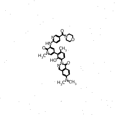 Cc1ccc(-n2ncc3cc(N(C)C)ccc3c2=O)c(O)c1-c1cc(Nc2ccc(C(=O)N3CCOCC3)cn2)c(=O)n(C)c1